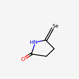 O=C1CCC(=[Se])N1